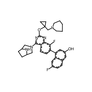 Oc1cc(-c2ccc3c(N4CC5CCC(C4)N5)nc(OC4(CN5CCCCC5)CC4)nc3c2F)c2cc(F)ccc2c1